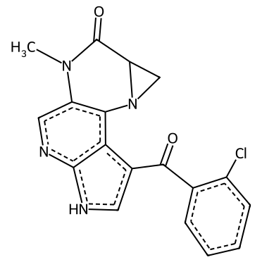 CN1C(=O)C2CN2c2c1cnc1[nH]cc(C(=O)c3ccccc3Cl)c21